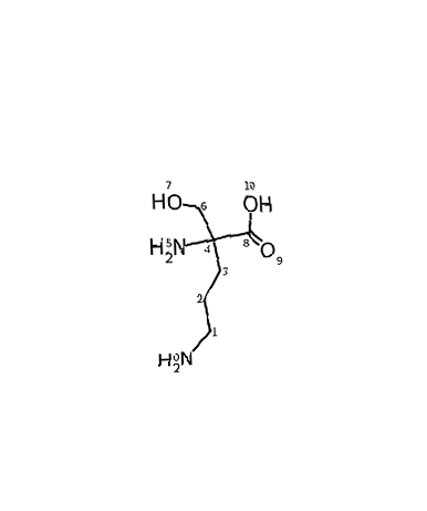 NCCCC(N)(CO)C(=O)O